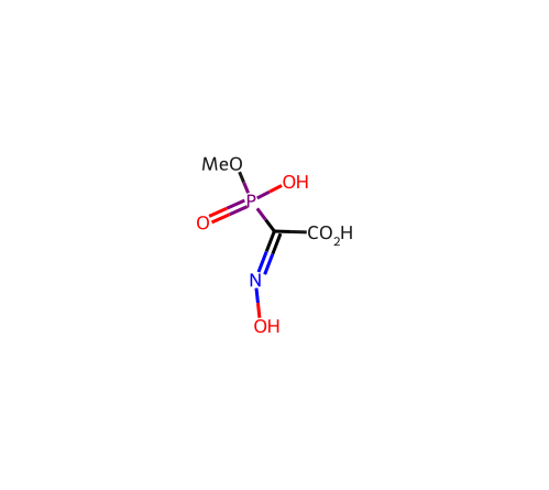 COP(=O)(O)/C(=N/O)C(=O)O